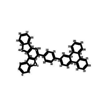 c1ccc2c(c1)oc1c(-c3ccc(-c4ccc5c6ccccc6c6ccccc6c5c4)cc3)nc3c4ccccc4sc3c12